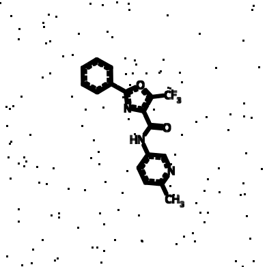 Cc1ccc(NC(=O)c2nc(-c3ccccc3)oc2C(F)(F)F)cn1